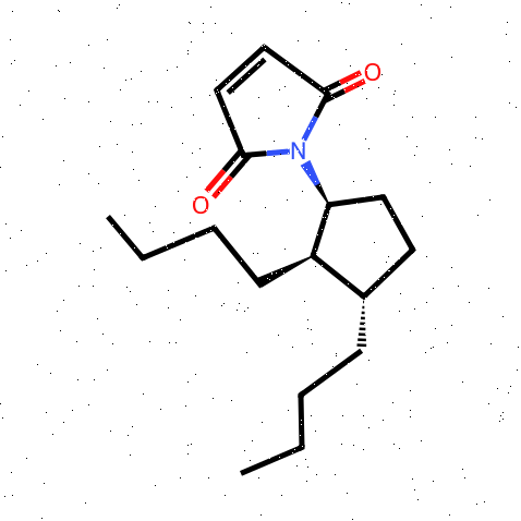 CCCC[C@H]1CC[C@H](N2C(=O)C=CC2=O)[C@@H]1CCCC